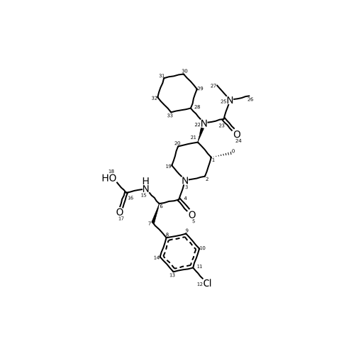 C[C@@H]1CN(C(=O)[C@@H](Cc2ccc(Cl)cc2)NC(=O)O)CC[C@H]1N(C(=O)N(C)C)C1CCCCC1